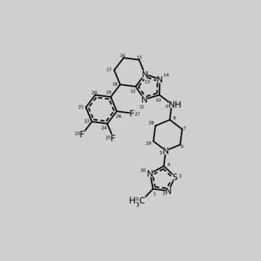 Cc1nsc(N2CCC(Nc3nc4n(n3)CCCC4c3ccc(F)c(F)c3F)CC2)n1